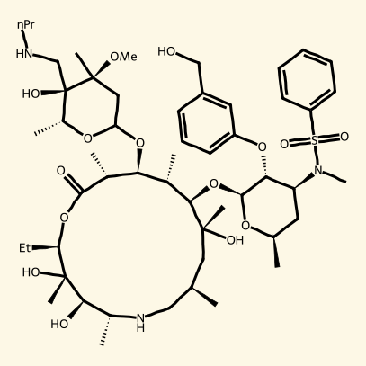 CCCNC[C@@]1(O)[C@@H](C)OC(O[C@H]2[C@H](C)[C@@H](O[C@@H]3O[C@H](C)C[C@H](N(C)S(=O)(=O)c4ccccc4)[C@H]3Oc3cccc(CO)c3)[C@](C)(O)C[C@@H](C)CN[C@H](C)[C@@H](O)[C@](C)(O)[C@@H](CC)OC(=O)[C@@H]2C)C[C@]1(C)OC